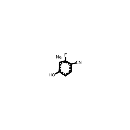 N#Cc1ccc(O)cc1F.[Na]